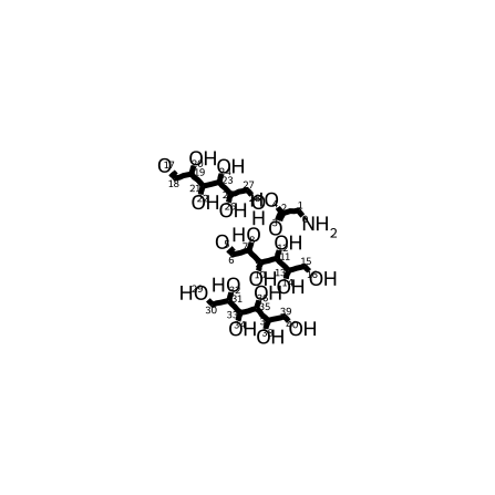 NCC(=O)O.O=CC(O)C(O)C(O)C(O)CO.O=CC(O)C(O)C(O)C(O)CO.OCC(O)C(O)C(O)C(O)CO